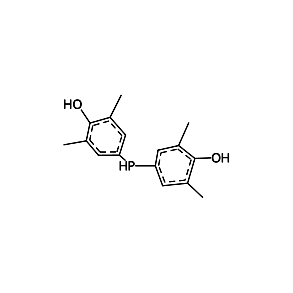 Cc1cc(Pc2cc(C)c(O)c(C)c2)cc(C)c1O